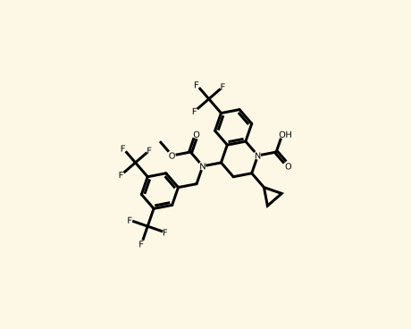 COC(=O)N(Cc1cc(C(F)(F)F)cc(C(F)(F)F)c1)C1CC(C2CC2)N(C(=O)O)c2ccc(C(F)(F)F)cc21